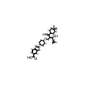 N=C(/C(CO[C@H]1CC[C@@H](c2nc3ccc(C(=O)O)cc3s2)CC1)=C(\O)C1CC1)C1CCC(F)(F)CC1